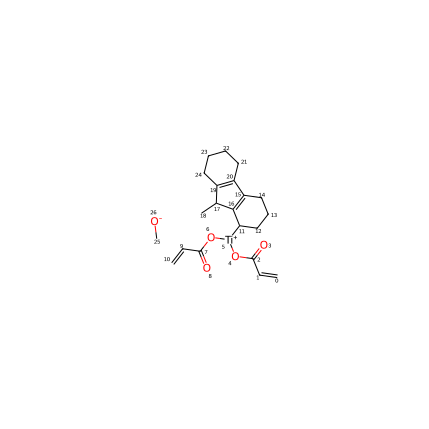 C=CC(=O)[O][Ti+]([O]C(=O)C=C)[CH]1CCCC2=C1C(C)C1=C2CCCC1.C[O-]